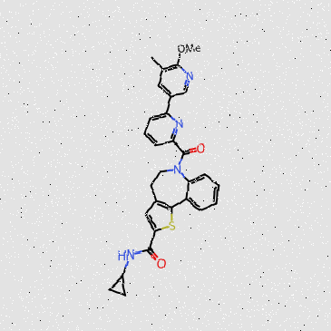 COc1ncc(-c2cccc(C(=O)N3CCc4cc(C(=O)NC5CC5)sc4-c4ccccc43)n2)cc1C